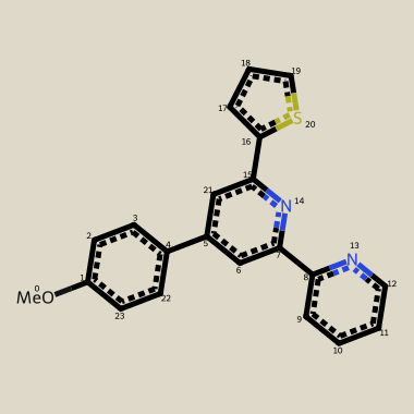 COc1ccc(-c2cc(-c3ccccn3)nc(-c3cccs3)c2)cc1